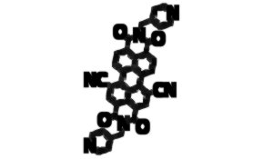 N#Cc1cc2c3c(cc(C#N)c4c5ccc6c7c(ccc(c1c34)c75)C(=O)N(Cc1ccncc1)C6=O)C(=O)N(Cc1ccncc1)C2=O